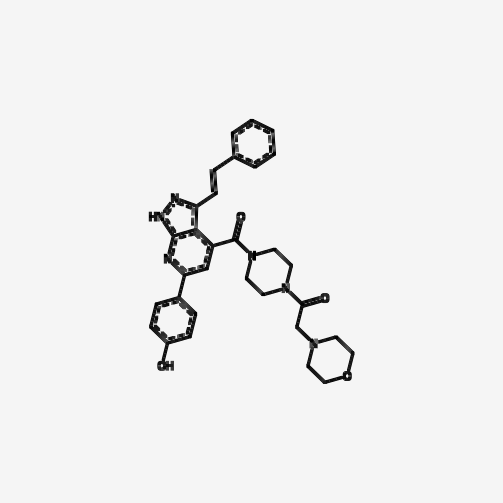 O=C(CN1CCOCC1)N1CCN(C(=O)c2cc(-c3ccc(O)cc3)nc3[nH]nc(C=Cc4ccccc4)c23)CC1